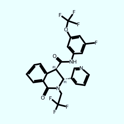 O=C(Nc1cc(F)cc(OC(F)(F)F)c1)[C@@H]1c2ccccc2C(=O)N(CC(F)(F)F)[C@H]1c1cccnc1